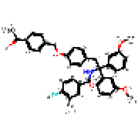 COC(=O)c1ccc(COc2ccc(CC(NC(=O)c3ccc(F)c(C(F)(F)F)c3)(c3cccc(OC(F)(F)F)c3)c3cccc(OC(F)(F)F)c3)cc2)cc1